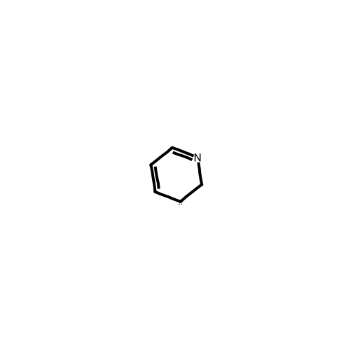 [C]1C=CC=NC1